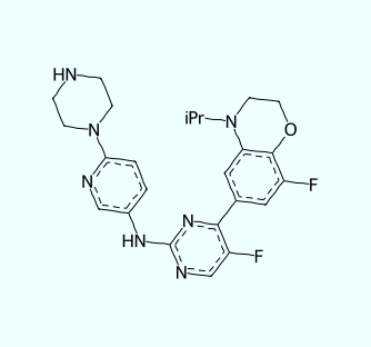 CC(C)N1CCOc2c(F)cc(-c3nc(Nc4ccc(N5CCNCC5)nc4)ncc3F)cc21